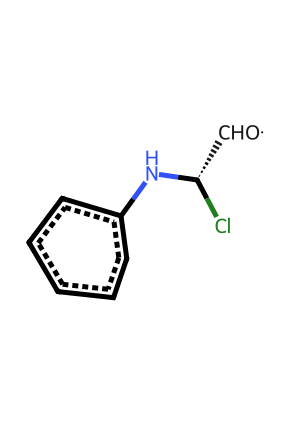 O=[C][C@H](Cl)Nc1ccccc1